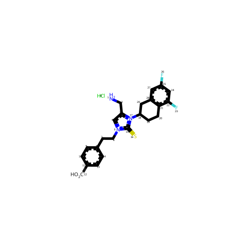 Cl.NCc1cn(CCc2ccc(C(=O)O)cc2)c(=S)n1C1CCc2c(F)cc(F)cc2C1